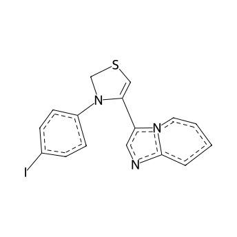 Ic1ccc(N2CSC=C2c2cnc3ccccn23)cc1